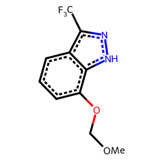 COCOc1cccc2c(C(F)(F)F)n[nH]c12